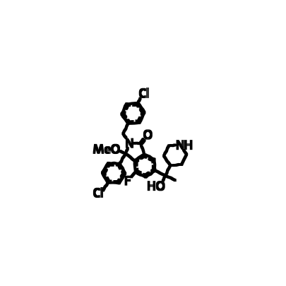 COC1(c2ccc(Cl)cc2)c2c(F)cc(C(C)(O)C3CCNCC3)cc2C(=O)N1Cc1ccc(Cl)cc1